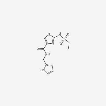 O=C(NCc1ccc[nH]1)c1csc(NS(=O)(=O)CF)n1